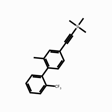 Cc1cc(C#C[Si](C)(C)C)ccc1-c1ccccc1C(F)(F)F